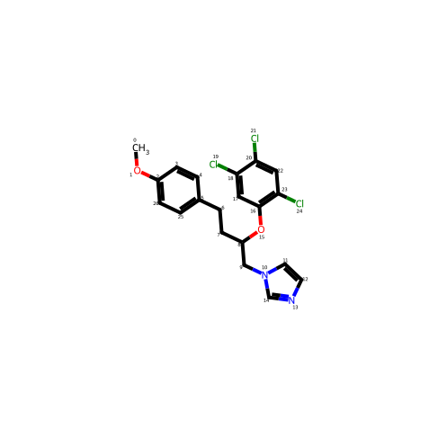 COc1ccc(CCC(Cn2ccnc2)Oc2cc(Cl)c(Cl)cc2Cl)cc1